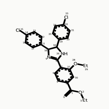 C=C(OCC)c1ccc(C2=NC(c3ccc(Cl)cc3)C(c3ccc(Cl)cc3)N2)c(OCC)c1